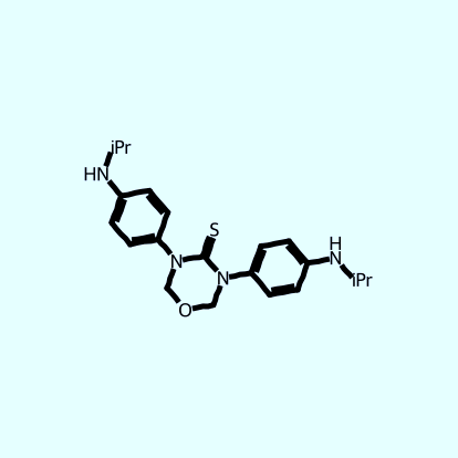 CC(C)Nc1ccc(N2COCN(c3ccc(NC(C)C)cc3)C2=S)cc1